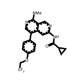 CNc1ncc(-c2ccc(OCC(F)(F)F)cc2)c2cc(NC(=O)C3CC3)ncc12